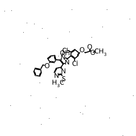 COC(=O)COc1cc(Cl)c(-c2nc(-c3ccnc(SC)n3)c(-c3cccc(OCc4ccccc4)c3)n2O)c(Cl)c1